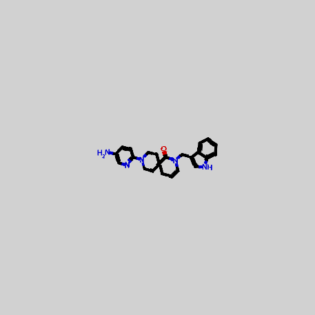 Nc1ccc(N2CCC3(CCCN(Cc4c[nH]c5ccccc45)C3=O)CC2)nc1